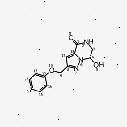 O=C1NCC(O)n2nc(COc3ccccc3)cc21